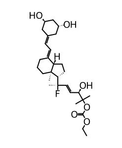 CCOC(=O)OC(C)(C)[C@H](O)/C=C/[C@@](C)(F)[C@H]1CC[C@H]2/C(=C/C=C3C[C@@H](O)C[C@H](O)C3)CCC[C@@]21C